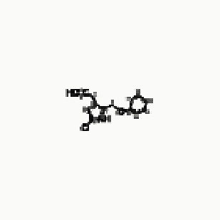 O=C(O)Cc1sc(=O)[nH]c1COc1ccccc1